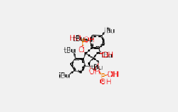 CCC(C)c1cc(C(C)(C)C)c(C(OP(O)O)(c2c(C(C)(C)C)cc(C(C)CC)cc2C(C)(C)C)C(CO)(CO)COP(O)O)c(C(C)(C)C)c1